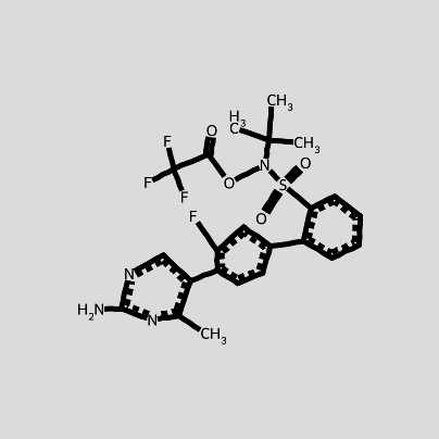 Cc1nc(N)ncc1-c1ccc(-c2ccccc2S(=O)(=O)N(OC(=O)C(F)(F)F)C(C)(C)C)cc1F